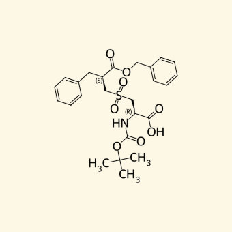 CC(C)(C)OC(=O)N[C@@H](CS(=O)(=O)C[C@@H](Cc1ccccc1)C(=O)OCc1ccccc1)C(=O)O